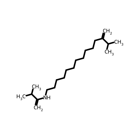 C=C(CCCCCCCCCCCNC(=C)C(C)C)C(C)C